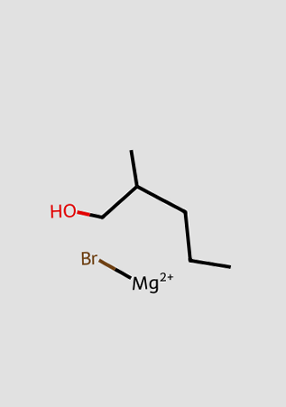 CCCC(C)CO.[Mg+2][Br]